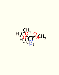 COC(=O)C1=CNC(C)(C)C(C(=O)OC(C)C)C1